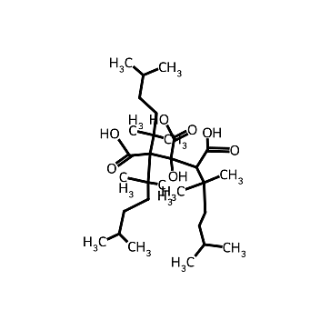 CC(C)CCC(C)(C)C(C(=O)O)C(O)(C(=O)O)C(C(=O)O)(C(C)(C)CCC(C)C)C(C)(C)CCC(C)C